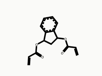 C=CC(=O)OC1CC(OC(=O)C=C)c2ccccc21